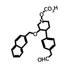 O=CCc1ccc(C2CCN(OC(=O)O)CC2OCc2ccc3ccccc3c2)cc1